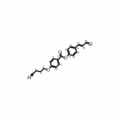 N#CCCCOc1ccc(C(=O)Oc2ccc(/C=C/C=O)cc2)cc1